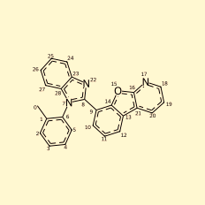 Cc1ccccc1-n1c(-c2cccc3c2oc2ncccc23)nc2ccccc21